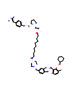 Cc1ncsc1-c1ccc(CNC(=O)[C@@H]2C[C@@H](O)CN2C(=O)C(NC(=O)CCCCCCCCCC(=O)N2CCN(Cc3ccc4c(c3)CN(C(=O)c3c(O)cc(O)c(C)c3OCC3CCCCC3)C4)CC2)C(C)(C)C)cc1